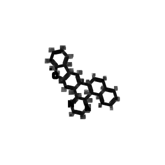 c1ccc2c(c1)ccc1c3cc4c(cc3c3nccnc3c21)oc1ccccc14